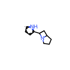 [c]1ccc(C2CC3CCCN32)[nH]1